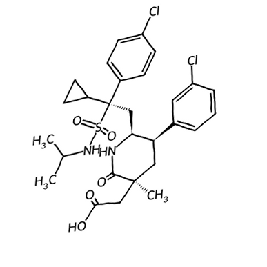 CC(C)NS(=O)(=O)[C@](C[C@@H]1NC(=O)[C@](C)(CC(=O)O)C[C@@H]1c1cccc(Cl)c1)(c1ccc(Cl)cc1)C1CC1